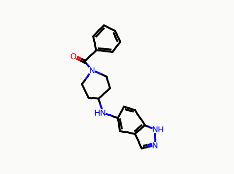 O=C(c1ccccc1)N1CCC(Nc2ccc3[nH]ncc3c2)CC1